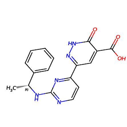 C[C@@H](Nc1nccc(-c2cc(C(=O)O)c(=O)[nH]n2)n1)c1ccccc1